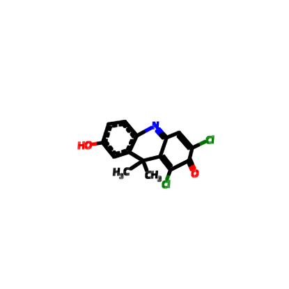 CC1(C)C2=C(Cl)C(=O)C(Cl)=CC2=Nc2ccc(O)cc21